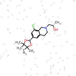 C[C@H](O)CN1CCc2cc(B3OC(C)(C)C(C)(C)O3)cc(Cl)c2C1